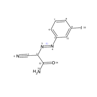 N#CC(/N=N/c1cccc(I)c1)C(N)=O